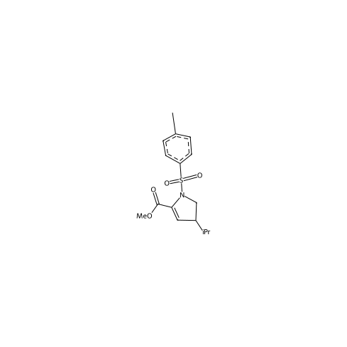 COC(=O)C1=CC(C(C)C)CN1S(=O)(=O)c1ccc(C)cc1